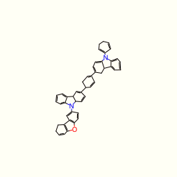 C1=CC(N2C3=CC=C(C4=CCC(C5=CC6c7ccccc7N(c7ccc8oc9c(c8c7)CCC=C9)C6C=C5)C=C4)CC3c3ccccc32)=CCC1